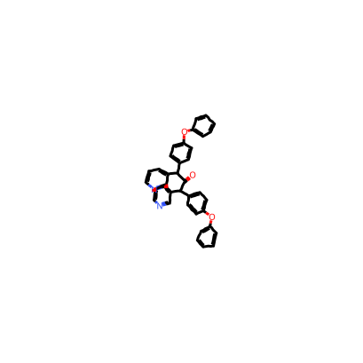 O=C(C(c1ccc(Oc2ccccc2)cc1)c1cccnc1)C(c1ccc(Oc2ccccc2)cc1)c1cccnc1